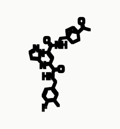 CC(=O)C12CCC(CNC(=O)c3cc(C(=O)NCc4ccc(F)c(C)c4)nc4ccnn34)(CC1)C2